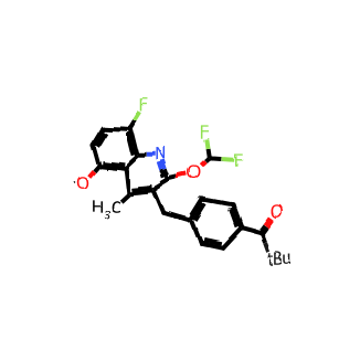 Cc1c(Cc2ccc(C(=O)C(C)(C)C)cc2)c(OC(F)F)nc2c(F)ccc([O])c12